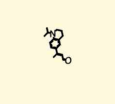 CC(=CC=O)c1ccc2c(c1)CCCN2C(C)C